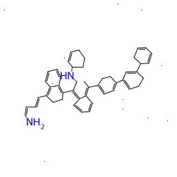 C/C(C1=CC=C(C2=CCCC(C3C=CC=CC3)=C2)CC1)=c1/cccc/c1=C(/CNC1C=CCCC1)C1=c2ccccc2=C(/C=C/C=C\N)CC1